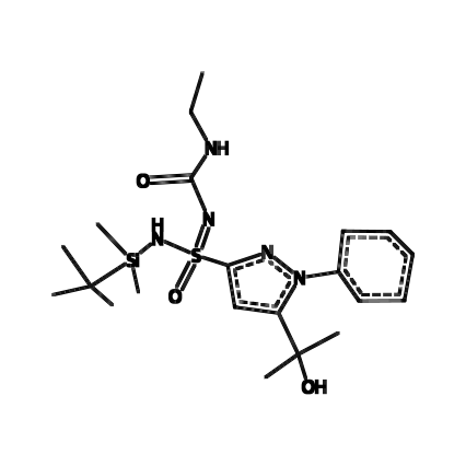 CCNC(=O)N=S(=O)(N[Si](C)(C)C(C)(C)C)c1cc(C(C)(C)O)n(-c2ccccc2)n1